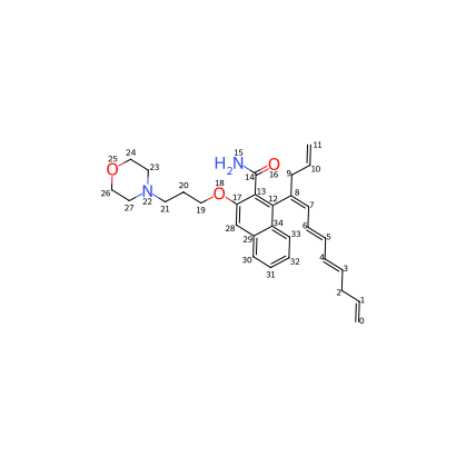 C=CC/C=C/C=C/C=C(/CC=C)c1c(C(N)=O)c(OCCCN2CCOCC2)cc2ccccc12